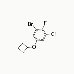 Fc1c(Cl)cc(OC2CCC2)cc1Br